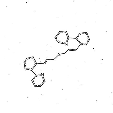 C(=Cc1ccccc1-c1ccccn1)CSCC=Cc1ccccc1-c1ccccn1